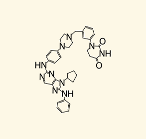 O=C1CCN(c2cccc(CN3CCN(c4ccc(Nc5ncc6nc(Nc7ccccc7)n(C7CCCC7)c6n5)cc4)CC3)c2)C(=O)N1